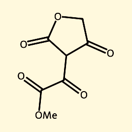 COC(=O)C(=O)C1C(=O)COC1=O